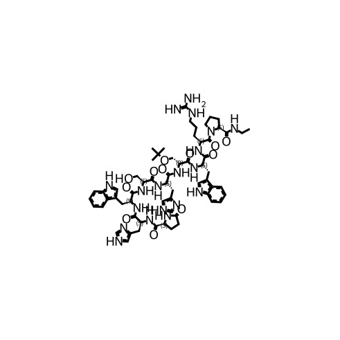 CCNC(=O)[C@@H]1CCCN1C(=O)[C@H](CCCNC(=N)N)NC(=O)[C@H](Cc1c[nH]c2ccccc12)NC(=O)[C@@H](COC(C)(C)C)NC(=O)[C@H](Cc1c[nH]cn1)NC(=O)[C@H](CO)NC(=O)[C@H](Cc1c[nH]c2ccccc12)NC(=O)[C@H](Cc1c[nH]cn1)NC(=O)[C@@H]1CCC(=O)N1